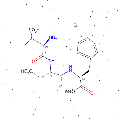 COC(=O)[C@H](Cc1ccccc1)NC(=O)[C@H](CC(=O)O)NC(=O)[C@H](N)C(C)C(=O)O.Cl